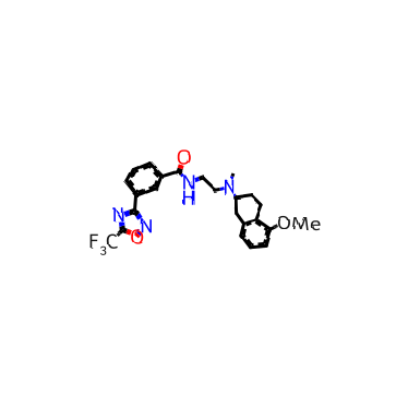 COc1cccc2c1CCC(N(C)CCNC(=O)c1cccc(-c3noc(C(F)(F)F)n3)c1)C2